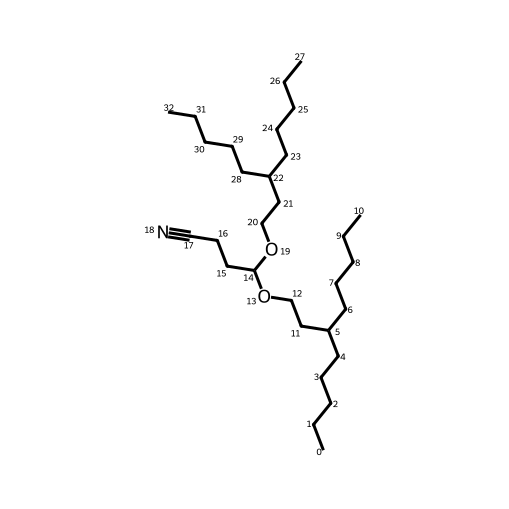 CCCCCC(CCCCC)CCOC(CCC#N)OCCC(CCCCC)CCCCC